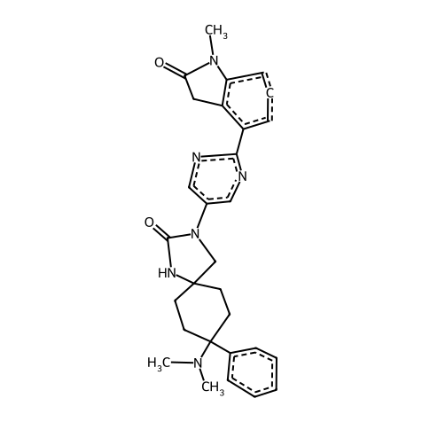 CN1C(=O)Cc2c(-c3ncc(N4CC5(CCC(c6ccccc6)(N(C)C)CC5)NC4=O)cn3)cccc21